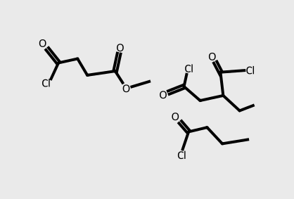 CCC(CC(=O)Cl)C(=O)Cl.CCCC(=O)Cl.COC(=O)CCC(=O)Cl